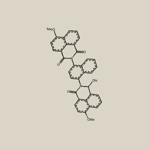 COc1ccc2c3c(cccc13)C(=O)N(c1ccc(N3C(=O)c4ccc(OC)c5cccc(c45)C3O)c3ccccc13)C2=O